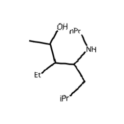 CCCNC(CC(C)C)C(CC)C(C)O